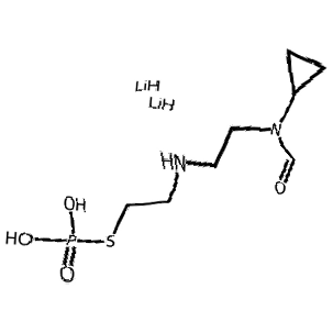 O=CN(CCNCCSP(=O)(O)O)C1CC1.[LiH].[LiH]